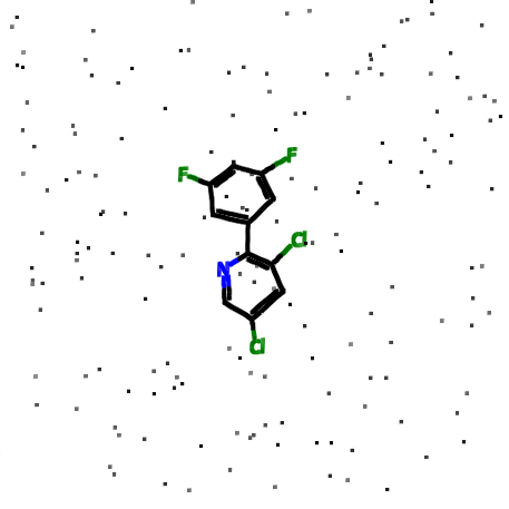 Fc1[c]c(F)cc(-c2ncc(Cl)cc2Cl)c1